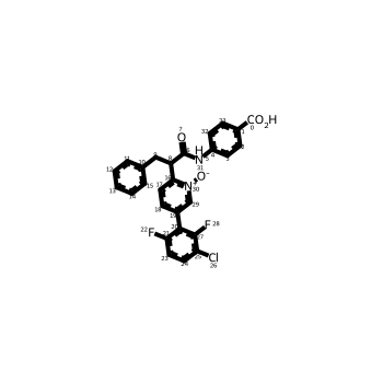 O=C(O)c1ccc(NC(=O)C(Cc2ccccc2)c2ccc(-c3c(F)ccc(Cl)c3F)c[n+]2[O-])cc1